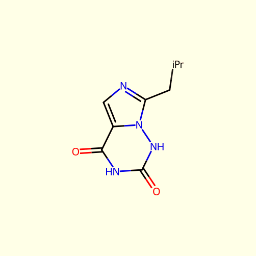 CC(C)Cc1ncc2c(=O)[nH]c(=O)[nH]n12